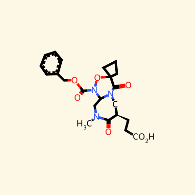 CN1CC2N(C[C@@H](CCC(=O)O)C1=O)C(=O)C1(CCC1)ON2C(=O)OCc1ccccc1